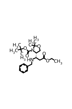 CCOC(=O)CC(NCc1ccccc1)[C@H]1COC(C)(C)N1C(=O)OC(C)(C)C